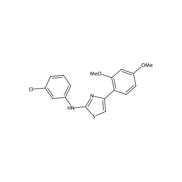 COc1ccc(-c2csc(Nc3cccc(Cl)c3)n2)c(OC)c1